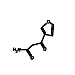 NC(=O)CC(=O)c1ccoc1